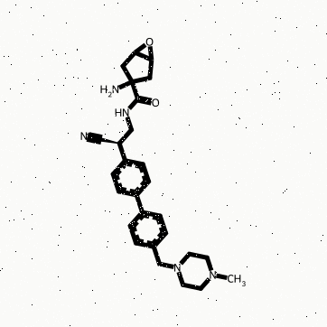 CN1CCN(Cc2ccc(-c3ccc([C@@H](C#N)CNC(=O)C4(N)CC5OC5C4)cc3)cc2)CC1